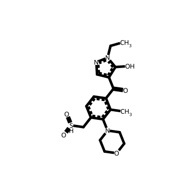 CCn1ncc(C(=O)c2ccc(C[SH](=O)=O)c(N3CCOCC3)c2C)c1O